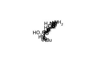 CC(C)(C)OC(=O)NCCCC(NC(=O)c1ccc(CCc2ccc3nc(N)nc(N)c3c2Cl)cc1)C(=O)O